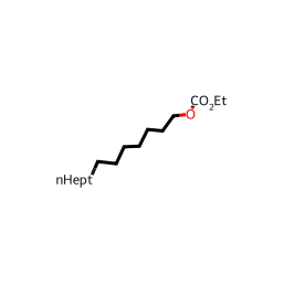 C[CH]OC(=O)OCCCCCCCCCCCCCC